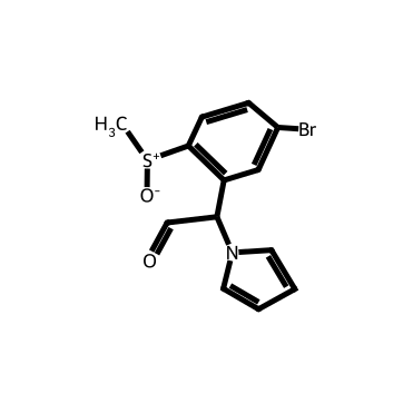 C[S+]([O-])c1ccc(Br)cc1C(C=O)n1cccc1